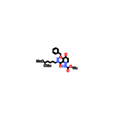 COC(CCCCNC(=O)c1c(OCc2ccccc2)c(=O)ccn1NC(=O)OC(C)(C)C)OC